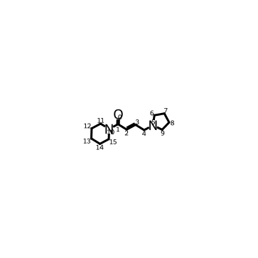 O=C(/C=C/CN1CCCC1)N1CCCCC1